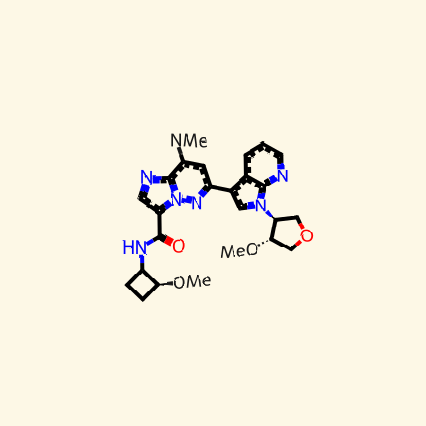 CNc1cc(-c2cn([C@H]3COC[C@@H]3OC)c3ncccc23)nn2c(C(=O)NC3CC[C@@H]3OC)cnc12